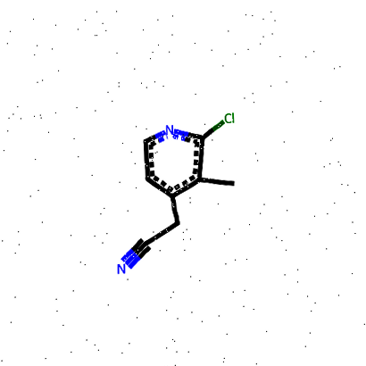 Cc1c(CC#N)ccnc1Cl